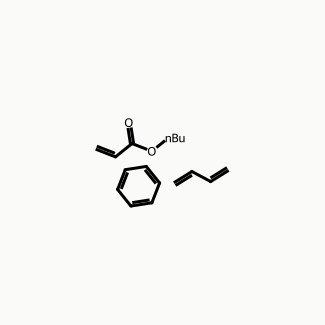 C=CC(=O)OCCCC.C=CC=C.c1ccccc1